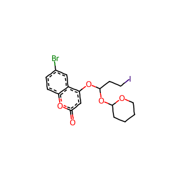 O=c1cc(OC(CCI)OC2CCCCO2)c2cc(Br)ccc2o1